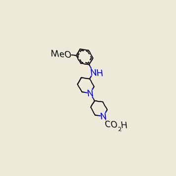 COc1cccc(NC2CCCN(C3CCN(C(=O)O)CC3)C2)c1